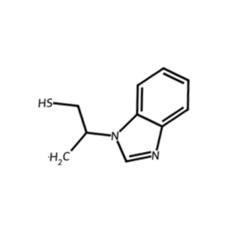 [CH2]C(CS)n1cnc2ccccc21